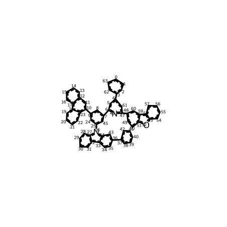 c1ccc(-c2cc(-c3cc(-c4cc5ccccc5c5ccccc45)cc(-n4c5ccccc5c5ccc(-c6ccccc6)cc54)c3)nc(-c3ccc4oc5ccccc5c4c3)c2)cc1